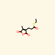 CCSC(=O)CCC1=C(C)C(=O)OC1=O